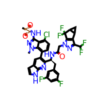 Cn1nc(NS(C)(=O)=O)c2c(Cl)ccc(-c3cc4cc[nH]c4nc3[C@H](Cc3cc(F)cc(F)c3)NC(=O)Cn3nc(C(F)F)c4c3C(F)(F)C3CC43)c21